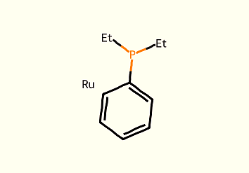 CCP(CC)c1ccccc1.[Ru]